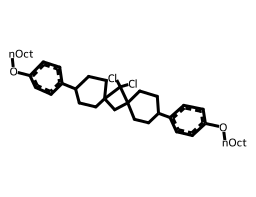 CCCCCCCCOc1ccc(C2CCC3(CC2)CC2(CCC(c4ccc(OCCCCCCCC)cc4)CC2)C3(Cl)Cl)cc1